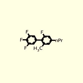 CCCc1cc(C)c(-c2cc(F)c(F)c(F)c2)c(F)c1